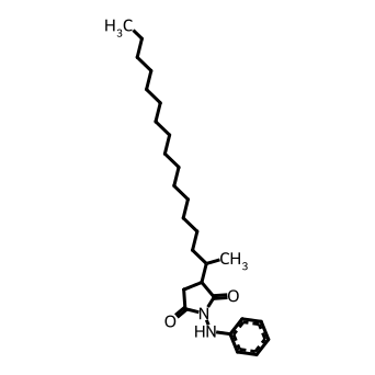 CCCCCCCCCCCCCCCC(C)C1CC(=O)N(Nc2ccccc2)C1=O